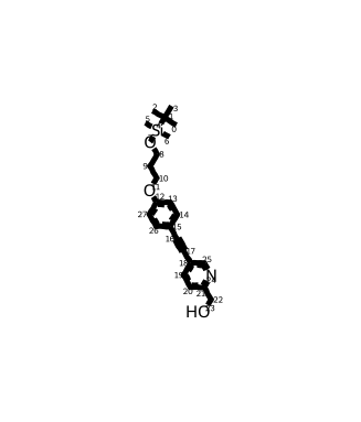 CC(C)(C)[Si](C)(C)OCCCOc1ccc(C#Cc2ccc(CO)nc2)cc1